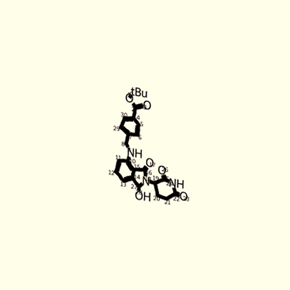 CC(C)(C)OC(=O)c1ccc(CNc2cccc3c2C(=O)N(C2CCC(=O)NC2=O)C3O)cc1